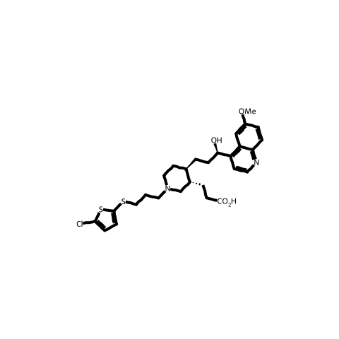 COc1ccc2nccc([C@H](O)CC[C@@H]3CCN(CCCSc4ccc(Cl)s4)C[C@H]3CCC(=O)O)c2c1